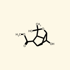 COC(=O)C1C2CC3C(OC(C)(O)C31)C2O